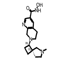 CN1CC[C@@]2(CC[C@H]2N2CCc3cc(C(=O)NO)cnc3C2)C1